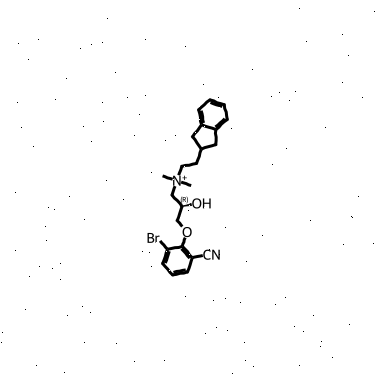 C[N+](C)(CCC1Cc2ccccc2C1)C[C@@H](O)COc1c(Br)cccc1C#N